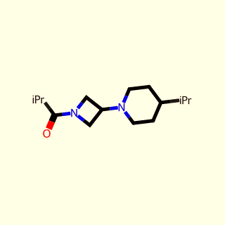 CC(C)C(=O)N1CC(N2CCC(C(C)C)CC2)C1